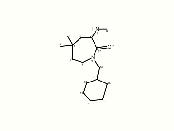 CNC1CC(C)(C)CCN(CC2CCCCC2)C1=O